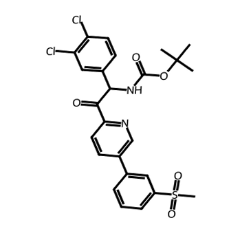 CC(C)(C)OC(=O)NC(C(=O)c1ccc(-c2cccc(S(C)(=O)=O)c2)cn1)c1ccc(Cl)c(Cl)c1